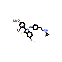 COc1ccc(-c2c(F)c3cc(C)ccc3n2Cc2ccc(CCNC3CC3)cc2)c(C)c1